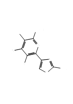 Cc1nc(-c2nc(C(=O)O)c(Cl)c(N)c2Cl)cs1